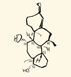 C[C@@H]1CC2=CC(=O)CC[C@]2(C)[C@@H]2[C@@H]1[C@@H]1CC[C@H](O)[C@@]1(C)C[C@@H]2O